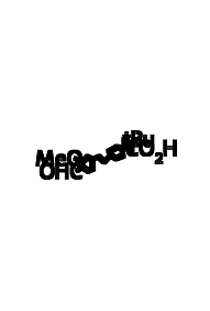 COc1cc(C=Cc2ccc(N(C(=O)O)C(C)(C)C)cc2)ccc1C=O